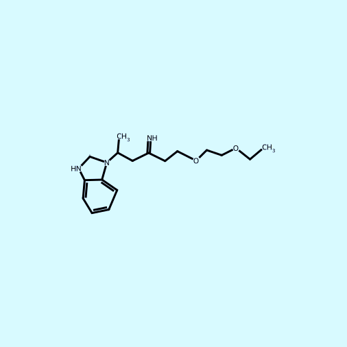 CCOCCOCCC(=N)CC(C)N1[CH]Nc2ccccc21